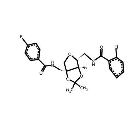 CC1(C)O[C@@H]2[C@@H](CNC(=O)c3ccccc3Cl)OC[C@]2(CNC(=O)c2ccc(F)cc2)O1